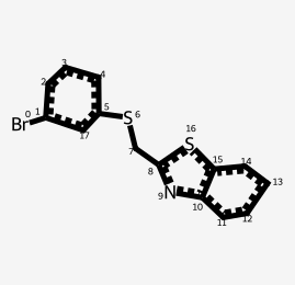 Brc1cccc(SCc2nc3ccccc3s2)c1